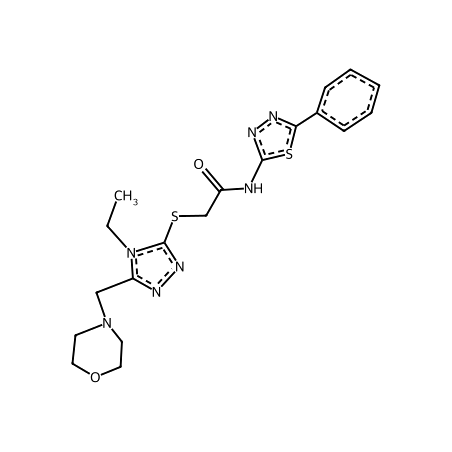 CCn1c(CN2CCOCC2)nnc1SCC(=O)Nc1nnc(-c2ccccc2)s1